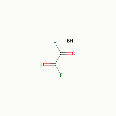 B.O=C(F)C(=O)F